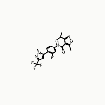 Cc1onc(C(C)C)c1C(=O)Nc1ccc(-c2cc(C(F)(F)F)nn2C)c(F)c1